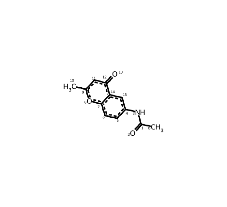 CC(=O)Nc1ccc2oc(C)cc(=O)c2c1